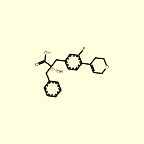 O=C(O)[C@](O)(Cc1ccccc1)Cc1ccc(C2=CCOCC2)c(F)c1